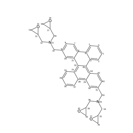 c1ccc2c(c1)c1ccc(CN(CC3CO3)CC3CO3)cc1c1c3ccccc3c3cc(CN(CC4CO4)CC4CO4)ccc3c21